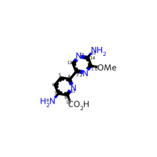 COc1nc(-c2ccc(N)c(C(=O)O)n2)cnc1N